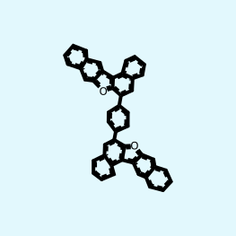 c1ccc2cc3c(cc2c1)oc1c(-c2ccc(-c4cc5ccccc5c5c4oc4cc6ccccc6cc45)cc2)cc2ccccc2c13